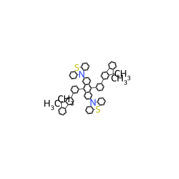 CC1(C)c2ccccc2-c2ccc(-c3cccc(-c4c5ccc(N6c7ccccc7Sc7ccccc76)cc5c(-c5cccc(-c6ccc7c(c6)C(C)(C)c6ccccc6-7)c5)c5ccc(N6c7ccccc7Sc7ccccc76)cc45)c3)cc21